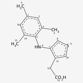 Cc1cc(C)c(Nc2cscc2CC(=O)O)c(C)c1